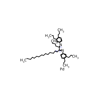 CCCCCCCCCCCCC/C=C/C(=N\c1ccc(CCC)c(CCC)c1)C(/CCCC)=N/c1ccc(CCC)c(CCC)c1.[Pd]